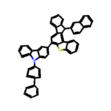 c1ccc(-c2ccc(-n3c4ccccc4c4cc(-c5cc6c(c7c5sc5ccccc57)C(c5ccc7ccccc7c5)c5ccccc5-6)ccc43)cc2)cc1